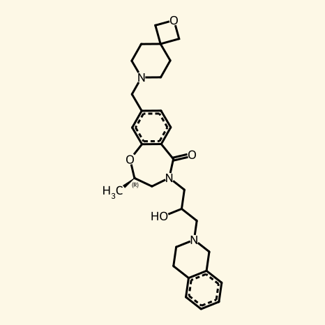 C[C@@H]1CN(CC(O)CN2CCc3ccccc3C2)C(=O)c2ccc(CN3CCC4(CC3)COC4)cc2O1